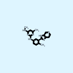 CNc1cc(C)nc(Nc2ccc(C)c(-c3nc4ccncc4[nH]3)c2)n1